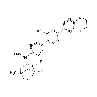 CN(c1cnc(-c2ccc(-c3cnc4c(n3)OCCO4)cc2O)nn1)[C@H]1C[C@]2(C)CC[C@@](C)(C2)[C@H]1F